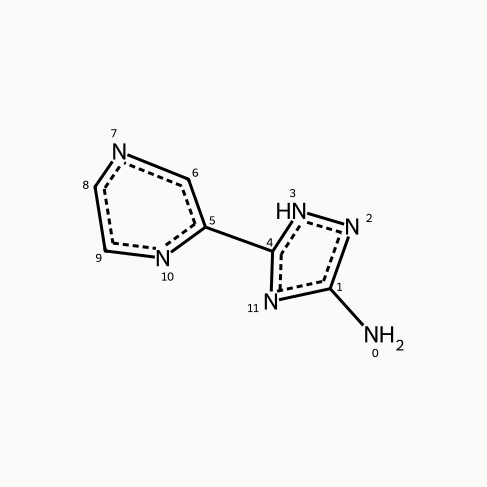 Nc1n[nH]c(-c2cnccn2)n1